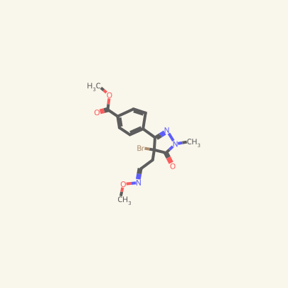 CON=CCC1(Br)C(=O)N(C)N=C1c1ccc(C(=O)OC)cc1